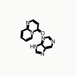 O=c1ccnc2ccccn12.c1ncc2nc[nH]c2n1